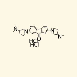 CN(C)C1CCN(c2ccc3c(c2)C(=O)c2cc(N4CCC(N(C)C)C4)ccc2-3)C1.Cl.Cl